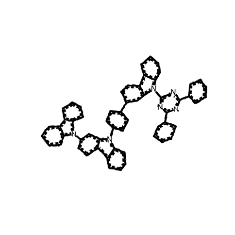 c1ccc(-c2nc(-c3ccccc3)nc(-n3c4ccccc4c4ccc(-c5ccc(-n6c7ccccc7c7ccc(-n8c9ccccc9c9ccccc98)cc76)cc5)cc43)n2)cc1